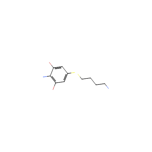 NCCCCSc1cc(Br)c(N)c(Br)c1